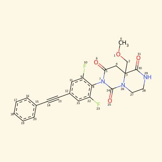 COCC12CC(=O)N(c3c(F)cc(C#Cc4ccccc4)cc3F)C(=O)N1CCNC2=O